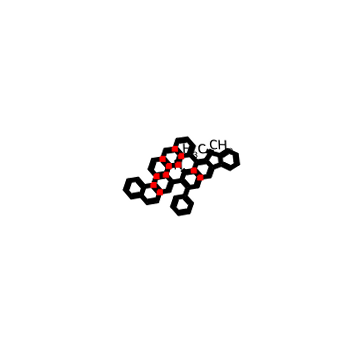 CC1(C)c2ccccc2-c2cccc(-c3ccccc3N(c3cccc(-c4cccc5ccccc45)c3)c3cccc(-c4ccccc4)c3-c3ccccc3-c3ccccc3)c21